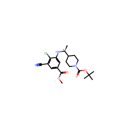 COC(=O)c1cc(C#N)c(Cl)c(N[C@@H](C)C2CCN(C(=O)OC(C)(C)C)CC2)c1